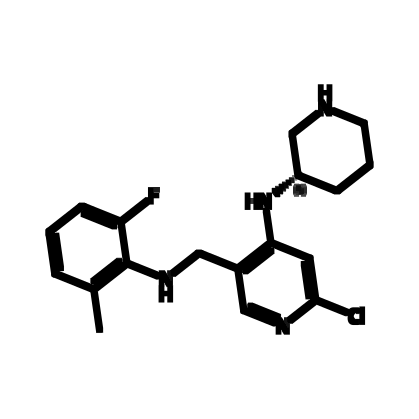 Cc1cccc(F)c1NCc1cnc(Cl)cc1N[C@H]1CCCNC1